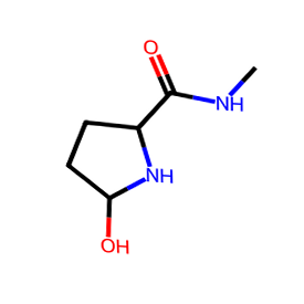 CNC(=O)C1CCC(O)N1